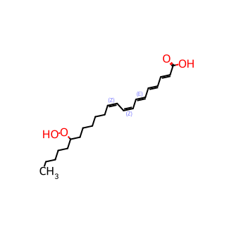 CCCCCC(CCCCC\C=C/C=C\C=C\C=CC=CC(=O)O)OO